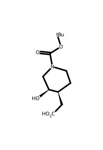 CC(C)(C)OC(=O)N1CC[C@@H](CC(=O)O)[C@@H](O)C1